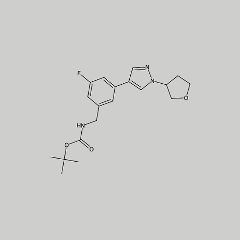 CC(C)(C)OC(=O)NCc1cc(F)cc(-c2cnn(C3CCOC3)c2)c1